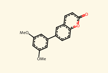 COc1cc(OC)cc(-c2ccc3oc(=O)ccc3c2)c1